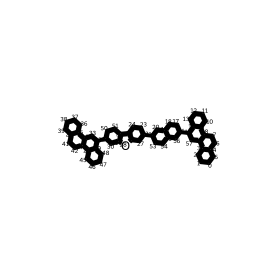 c1ccc2c(c1)ccc1c3ccccc3c(-c3ccc4cc(-c5ccc6c(c5)oc5cc(-c7cc8c9ccccc9ccc8c8ccccc78)ccc56)ccc4c3)cc21